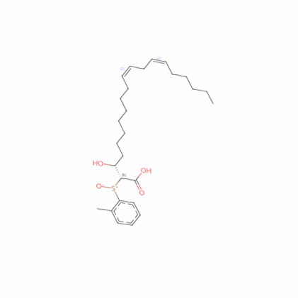 CCCCC/C=C\C/C=C\CCCCCCCC(O)[C@H](C(=O)O)[S+]([O-])c1ccccc1C